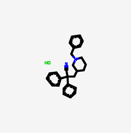 Cl.N#CC(CC1CCCN(Cc2ccccc2)C1)(c1ccccc1)c1ccccc1